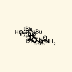 CCCCOc1c(N(CC(C)(C)C)C(=O)O)n(CC(C)C)c(=O)c2ccc(-c3nc(C(N)=O)cs3)cc12